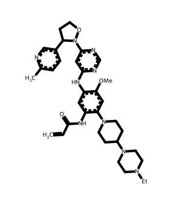 C=CC(=O)Nc1cc(Nc2cc(N3OCCC3c3ccc(C)nc3)ncn2)c(OC)cc1N1CCC(N2CCN(CC)CC2)CC1